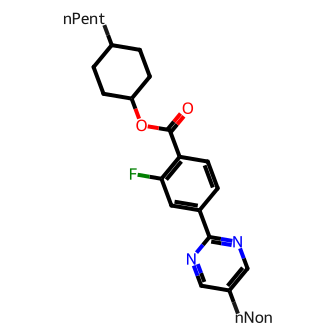 CCCCCCCCCc1cnc(-c2ccc(C(=O)OC3CCC(CCCCC)CC3)c(F)c2)nc1